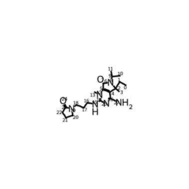 CCC1(C)C2=C(C(=O)N1C(C)C)N(C)C(NCCCN1CCCC1=O)N=C2N